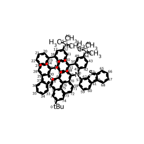 CC(C)(C)c1cc2ccc3c(N(c4ccc([Si](C)(C)C)cc4-c4ccccc4)c4cccc5c4sc4ccccc45)cc(N(c4ccc([Si](C)(C)C)cc4-c4ccccc4)c4cccc5c4sc4ccccc45)c4ccc(c1)c2c34